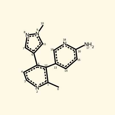 Cc1nccc(-c2cnn(C)c2)c1-c1ccc(N)nc1